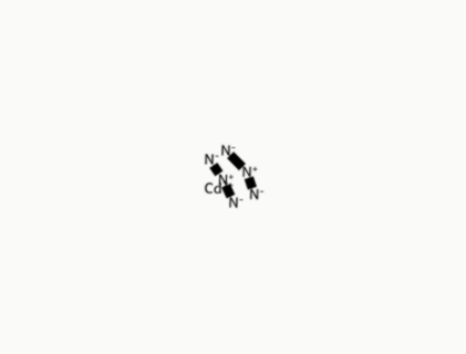 [Cd+2].[N-]=[N+]=[N-].[N-]=[N+]=[N-]